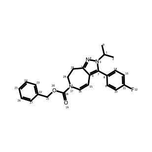 CC(C)n1nc2c(c1-c1ccc(F)cc1)C=CN(C(=O)OCc1ccccc1)CC2